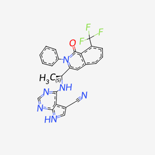 C[C@H](Nc1ncnc2[nH]cc(C#N)c12)c1cc2cccc(C(F)(F)F)c2c(=O)n1-c1ccccc1